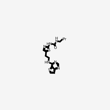 CC(C)CNC(=O)Nc1ncc(CCNc2ncnc3ccsc23)s1